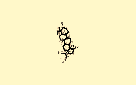 CC(C)C1=C2[C@H]3CC[C@@H]4[C@@]5(C)CC[C@H](C)C(C)(C)[C@@H]5CC[C@@]4(C)[C@]3(C)CC[C@@]2(C(O)C[N+](=O)[O-])CC1